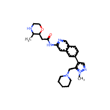 CC1NCCOC1CC(=O)Nc1cc2cc(-c3cnn(C)c3CN3CCCCC3)ccc2cn1